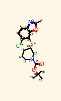 Cc1nc2ccc(Cl)c(S[C@H]3CCCN(C(=O)OC(C)(C)C)C3)c2o1